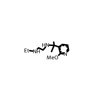 CCNCCNC(C)(C)c1cccnc1OC